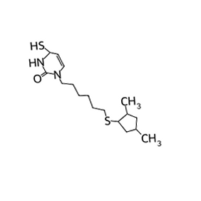 CC1CC(C)C(SCCCCCCN2C=CC(S)NC2=O)C1